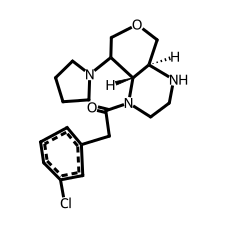 O=C(Cc1cccc(Cl)c1)N1CCN[C@@H]2COCC(N3CCCC3)[C@H]21